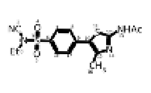 CCN(C#N)S(=O)(=O)c1ccc(-c2sc(NC(C)=O)nc2C)cc1